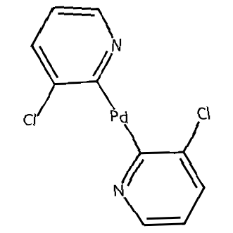 Clc1cccn[c]1[Pd][c]1ncccc1Cl